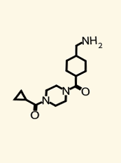 NCC1CCC(C(=O)N2CCN(C(=O)C3CC3)CC2)CC1